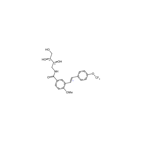 COc1ccc(C(=O)NC[C@H](O)[C@@H](O)CO)cc1/C=C/c1ccc(OC(F)(F)F)cc1